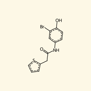 O=C(Cc1cccs1)Nc1ccc(O)c(Br)c1